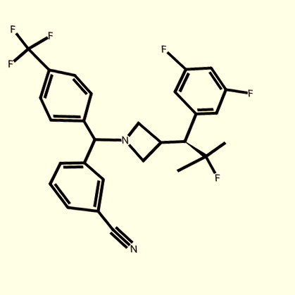 CC(C)(F)[C@H](c1cc(F)cc(F)c1)C1CN(C(c2ccc(C(F)(F)F)cc2)c2cccc(C#N)c2)C1